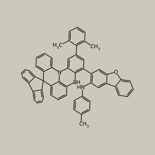 Cc1ccc(Nc2cc3c(cc2-c2cc(-c4c(C)cccc4C)cc4c2Bc2cccc5c2N4c2ccccc2C52c4ccccc4-c4ccccc42)oc2ccccc23)cc1